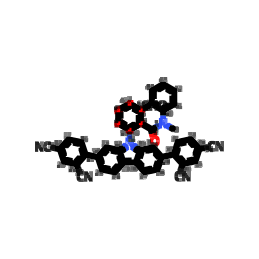 CN(C(=O)c1c(C=O)cccc1-n1c2cc(-c3ccc(C#N)cc3C#N)ccc2c2ccc(-c3ccc(C#N)cc3C#N)cc21)c1ccccc1-c1ccccc1